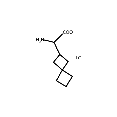 NC(C(=O)[O-])C1CC2(CCC2)C1.[Li+]